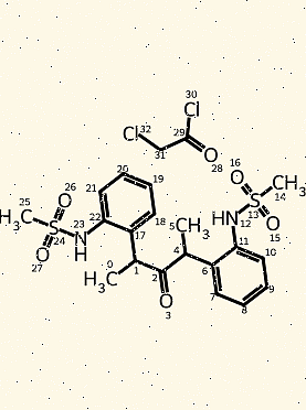 CC(C(=O)C(C)c1ccccc1NS(C)(=O)=O)c1ccccc1NS(C)(=O)=O.O=C(Cl)CCl